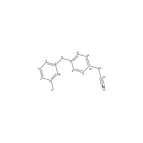 Cc1cccc(Cc2ccc(CC#N)cc2)c1